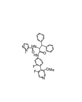 COc1cncc(F)c1-c1ccc(NC(=O)C(NC(=O)c2ccnn2C)C(c2ccccc2)c2ccccc2)cc1F